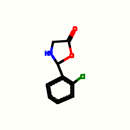 O=C1CNC(c2ccccc2Cl)O1